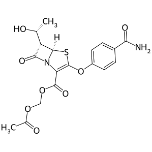 CC(=O)OCOC(=O)C1=C(Oc2ccc(C(N)=O)cc2)S[C@@H]2[C@@H]([C@@H](C)O)C(=O)N12